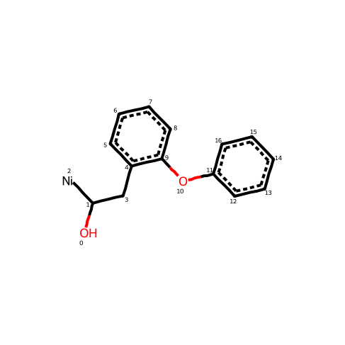 O[CH]([Ni])Cc1ccccc1Oc1ccccc1